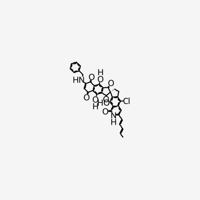 CC=CC=Cc1cc2c(Cl)c3c(c(O)c2c(=O)[nH]1)[C@@]1(CC3)C(=O)c2c(O)c3c(c(O)c2C1=O)C(=O)C(NCc1ccccc1)=CC3=O